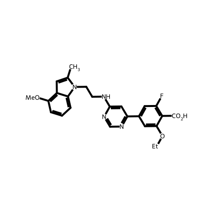 CCOc1cc(-c2cc(NCCn3c(C)cc4c(OC)cccc43)ncn2)cc(F)c1C(=O)O